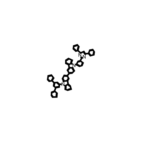 c1ccc(-c2cc(-c3ccccc3)cc(-n3c4ccccc4c4cc(-c5ccc6c(c5)c5ccccc5n6-c5cccc(-c6nc(-c7ccccc7)cc(-c7ccccc7)n6)c5)ccc43)c2)cc1